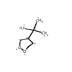 CC(C)(C)C1COOC1